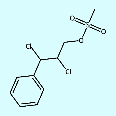 CS(=O)(=O)OCC(Cl)C(Cl)c1ccccc1